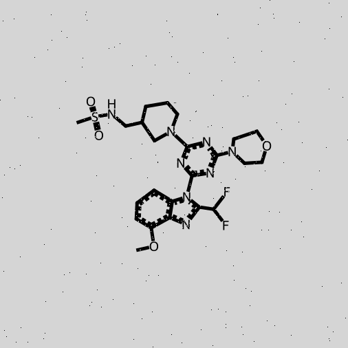 COc1cccc2c1nc(C(F)F)n2-c1nc(N2CCOCC2)nc(N2CCCC(CNS(C)(=O)=O)C2)n1